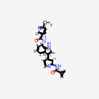 Cc1ccc(C(=O)Nc2cccc3c(-c4ccnc(NC(=O)C5CC5)c4)c[nH]c23)cn1